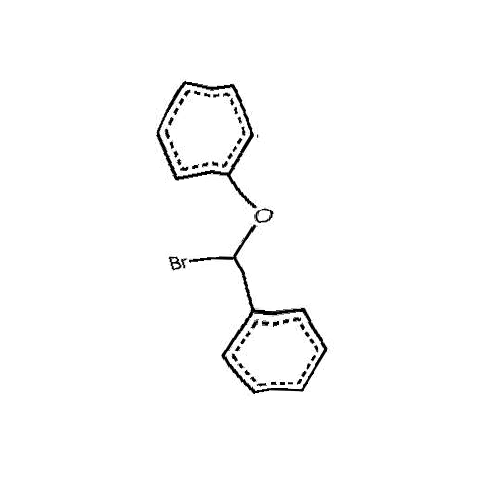 BrC(Oc1[c]cccc1)c1ccccc1